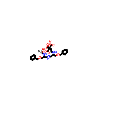 CCNC(CNCC(COCc1ccccc1)NCCC(C(=O)O)(C(=O)O)C(=O)O)COCc1ccccc1